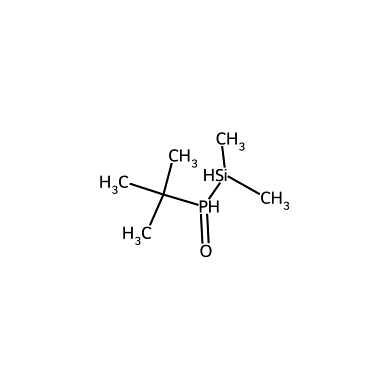 C[SiH](C)[PH](=O)C(C)(C)C